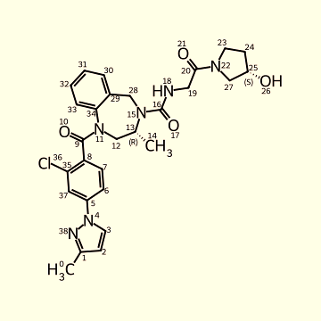 Cc1ccn(-c2ccc(C(=O)N3C[C@@H](C)N(C(=O)NCC(=O)N4CC[C@H](O)C4)Cc4ccccc43)c(Cl)c2)n1